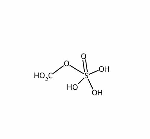 O=C(O)OS(=O)(O)(O)O